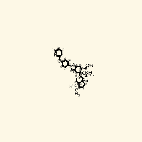 C[C@H]1CC[C@H]2[C@H](CN)[C@@H]([C@@]3(C)Cc4cn(-c5ccc(Oc6ccccn6)cc5)nc4C[C@@H]3CO)CC[C@]12C